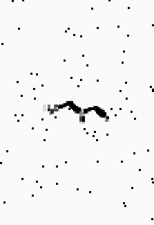 CC=[SH]C=S